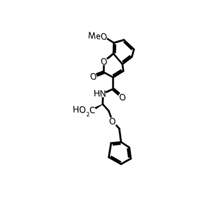 COc1cccc2cc(C(=O)N[C@@H](COCc3ccccc3)C(=O)O)c(=O)oc12